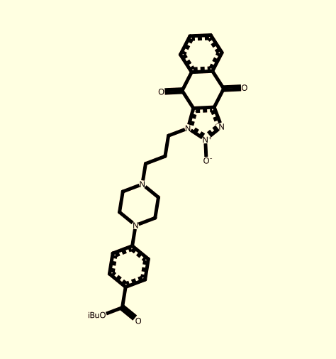 CC(C)COC(=O)c1ccc(N2CCN(CCCn3c4c(n[n+]3[O-])C(=O)c3ccccc3C4=O)CC2)cc1